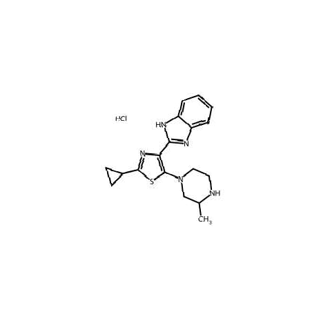 CC1CN(c2sc(C3CC3)nc2-c2nc3ccccc3[nH]2)CCN1.Cl